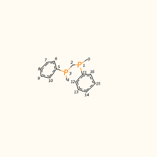 CP(CP(C)c1ccccc1)c1ccccc1